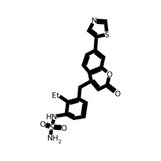 CCc1c(Cc2cc(=O)oc3cc(-c4cncs4)ccc23)cccc1NS(N)(=O)=O